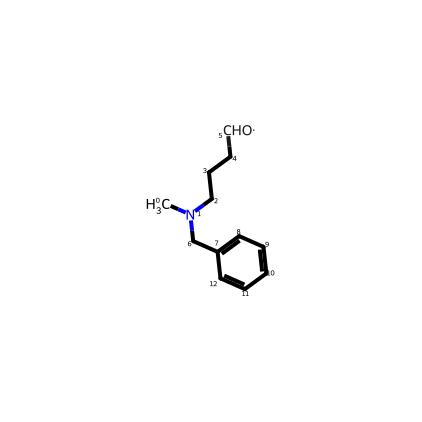 CN(CCC[C]=O)Cc1ccccc1